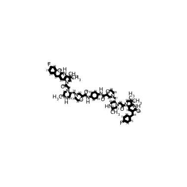 C[C@@H]1CN(CC(=O)N2CC(C)(C)c3[nH]c(=O)c(Cc4ccc(F)cc4)cc32)[C@@H](CN2CCOC(C(=O)NC3CCC(NC(=O)C4CN(C[C@H]5CN[C@H](C)CN5CC(=O)N5CC(C)(C)c6[nH]c(=O)c(Cc7ccc(F)cc7)cc65)CCO4)CC3)C2)CN1